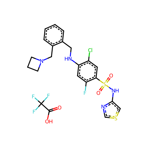 O=C(O)C(F)(F)F.O=S(=O)(Nc1cscn1)c1cc(Cl)c(NCc2ccccc2CN2CCC2)cc1F